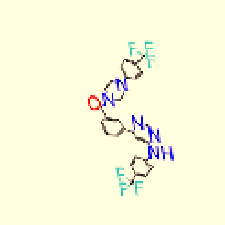 O=C(c1cccc(-c2cc(Nc3ccc(C(F)(F)F)cc3)ncn2)c1)N1CCN(c2ccc(C(F)(F)F)cc2)CC1